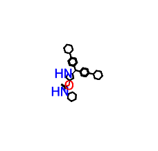 C=C(NC1CCCCC1)O[C@H]1CN[C@@H](C(c2ccc(C3CCCCC3)cc2)c2ccc(C3CCCCC3)cc2)C1